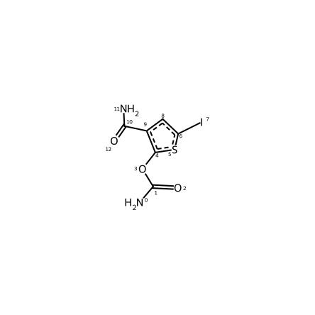 NC(=O)Oc1sc(I)cc1C(N)=O